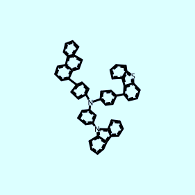 c1cc(N(c2ccc(-c3cccc4c3ccc3ccccc34)cc2)c2ccc(-c3cccc4sc5ccccc5c34)cc2)cc(-n2c3ccccc3c3ccccc32)c1